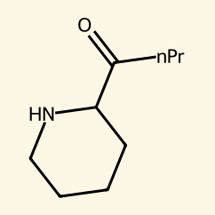 CCCC(=O)C1CCCCN1